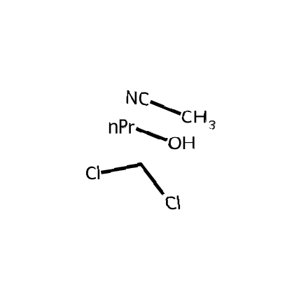 CC#N.CCCO.ClCCl